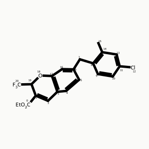 CCOC(=O)C1=Cc2ccc(Cc3ccc(Cl)cc3C)cc2OC1C(F)(F)F